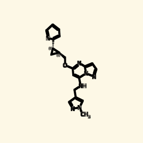 Cn1cc(CNc2cc(OC[C@H]3C[C@@H]3c3ccccn3)nc3ccnn23)cn1